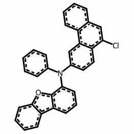 Clc1cc2ccccc2c2cc(N(c3ccccc3)c3cccc4c3oc3ccccc34)ccc12